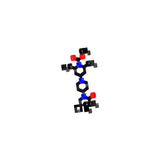 COC(=O)N1C(C)CC(N2CCC(N(CC3(C)CCC3)C(C)=O)CC2)CC1C